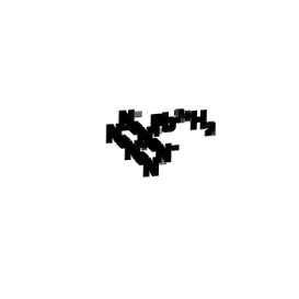 [N-]=[N+]=[N-].[N-]=[N+]=[N-].[PbH2+2]